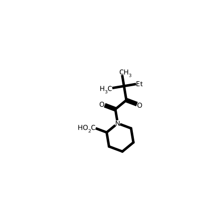 CCC(C)(C)C(=O)C(=O)N1CCCCC1C(=O)O